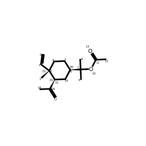 C=C[C@]1(C)CC[C@@H](C(C)(C)OC(C)=O)C[C@H]1C(=C)C